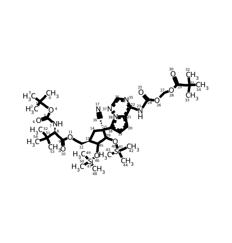 CC(C)(C)OC(=O)N[C@H](C(=O)OC[C@H]1C[C@@](C#N)(c2ccc3c(NC(=O)OCOC(=O)C(C)(C)C)ncnn23)C(O[Si](C)(C)C)C1O[Si](C)(C)C)C(C)(C)C